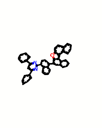 c1ccc(-c2cc(-c3ccccc3)nc(-c3ccc(-c4cc5ccccc5c5c4oc4ccc6ccccc6c45)c4ccccc34)n2)cc1